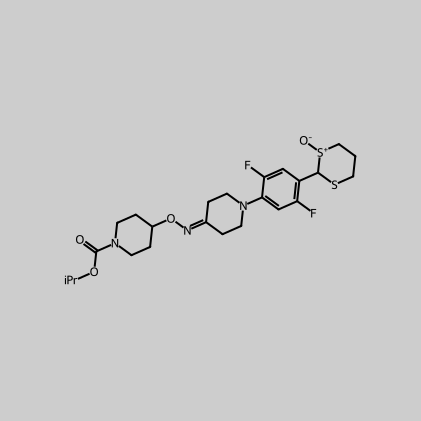 CC(C)OC(=O)N1CCC(ON=C2CCN(c3cc(F)c(C4SCCC[S+]4[O-])cc3F)CC2)CC1